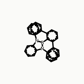 c1ccc(-c2cccc(-c3ccccc3)c2B2N(c3ccccc3)c3ccccc3N2c2ccccn2)cc1